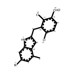 Cc1cc(Br)cc2[nH]c(Cc3c(Cl)ccc(C=O)c3Cl)cc12